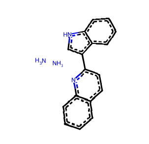 N.N.c1ccc2nc(-c3c[nH]c4ccccc34)ccc2c1